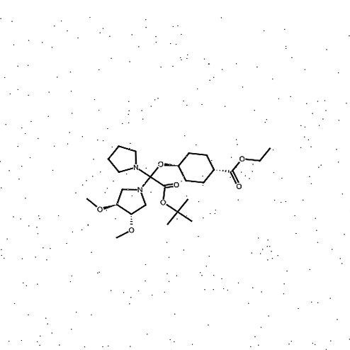 CCOC(=O)[C@H]1CC[C@H](OC(C(=O)OC(C)(C)C)(N2CCCC2)N2C[C@H](OC)[C@@H](OC)C2)CC1